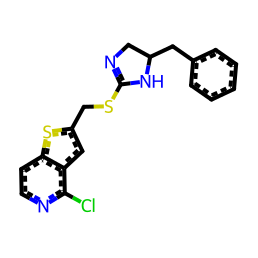 Clc1nccc2sc(CSC3=NCC(Cc4ccccc4)N3)cc12